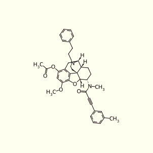 COc1cc(OC(C)=O)c2c3c1O[C@H]1[C@@H](N(C)C(=O)C#Cc4cccc(C)c4)CC[C@H]4[C@@H](C2)N(CCc2ccccc2)CC[C@@]341